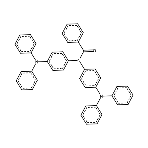 O=C(c1ccccc1)N(c1ccc(N(c2ccccc2)c2ccccc2)cc1)c1ccc(N(c2ccccc2)c2ccccc2)cc1